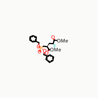 COC(=O)[C@H](C[C@@H](F)C(=O)OC)CP(=O)(OCc1ccccc1)OCc1ccccc1